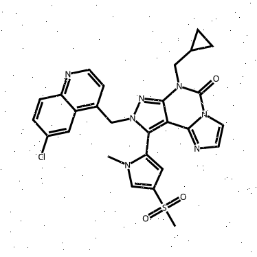 Cn1cc(S(C)(=O)=O)cc1-c1c2c(nn1Cc1ccnc3ccc(Cl)cc13)n(CC1CC1)c(=O)n1ccnc21